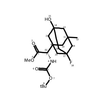 COC(=O)[C@@H](NC(=O)OC(C)(C)C)C12CC3(C)CC(O)(CC(F)(C3)C1)C2